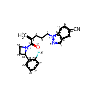 C=C(CCCn1ncc2cc(C#N)ccc21)C(=O)N1CCC1c1ccccc1F